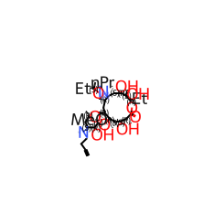 C#CCCN(C)[C@H]1C[C@@H](C)O[C@@H](O[C@@H]2[C@@H](C)[C@H](O)[C@@H](C)C(=O)O[C@H](CC)[C@@](C)(O)[C@H](O)[C@@H](C)/C(=N/O[C@@H](CC)CCC)[C@H](C)C[C@@]2(C)OC)[C@@H]1O